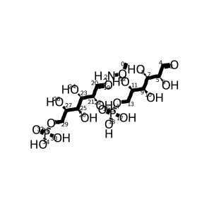 CON.O=C[C@H](O)[C@@H](O)[C@@H](O)[C@H](O)COP(=O)(O)O.O=C[C@H](O)[C@@H](O)[C@@H](O)[C@H](O)COP(=O)(O)O